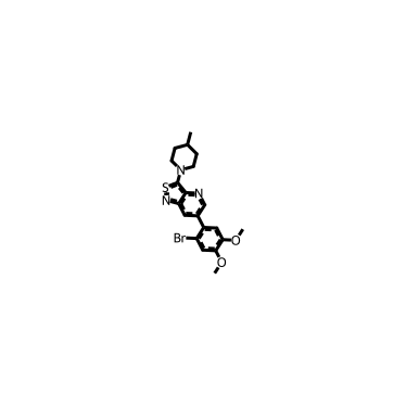 COc1cc(Br)c(-c2cnc3c(N4CCC(C)CC4)snc3c2)cc1OC